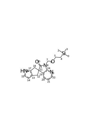 C[Si](C)(C)CCOCN1C(=O)C2(Cc3cc[nH]c3C2)c2cccnc21